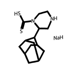 S=C(S)N1CCNCC1C1C2CC3CC(C2)CC1C3.[NaH]